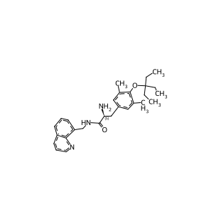 CCC(CC)(CC)Oc1c(C)cc(C[C@H](N)C(=O)NCc2cccc3cccnc23)cc1C